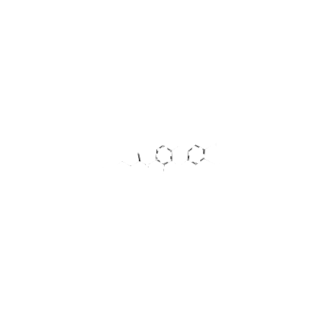 CC(C)c1cc(Oc2c(Cl)ccc(NC(=O)CCC(=O)O)c2Cl)ccc1O